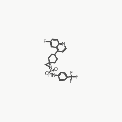 O=S(=O)(Nc1ccc(C(F)(F)F)cc1)N1CC12CCC(c1ccnc3ccc(F)cc13)CC2